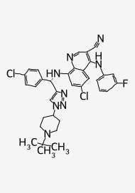 CC(C)(C)N1CCC(n2cc([C@@H](Nc3cc(Cl)cc4c(Nc5cccc(F)c5)c(C#N)cnc34)c3ccc(Cl)cc3)nn2)CC1